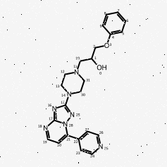 OC(COc1ccccc1)CN1CCN(c2nc3nccc(-c4ccncc4)n3n2)CC1